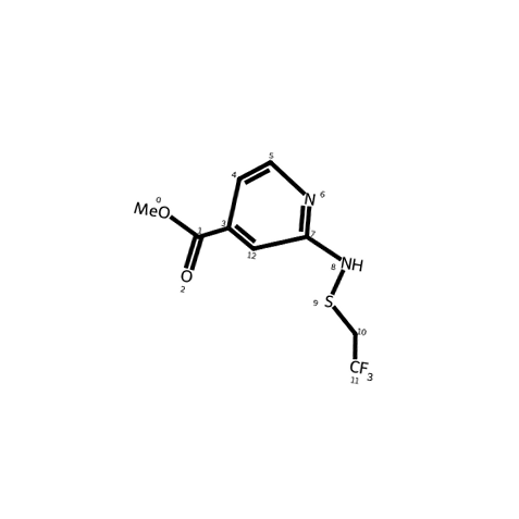 COC(=O)c1ccnc(NSCC(F)(F)F)c1